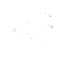 CCOC(=O)C1=C(C)Nc2c(c(C(C)(C)C)nn2C)C1c1ccc(Cl)c(Cl)c1